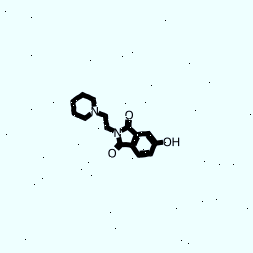 O=C1c2ccc(O)cc2C(=O)N1CCN1CCCCC1